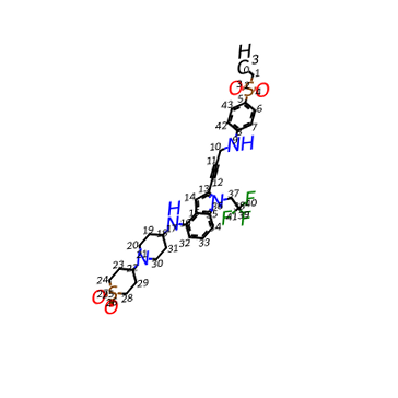 CCS(=O)(=O)c1ccc(NCC#Cc2cc3c(NC4CCN(C5CCS(=O)(=O)CC5)CC4)cccc3n2CC(F)(F)F)cc1